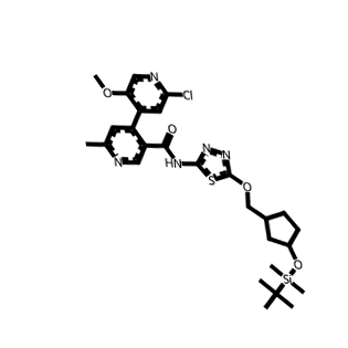 COc1cnc(Cl)cc1-c1cc(C)ncc1C(=O)Nc1nnc(OCC2CCC(O[Si](C)(C)C(C)(C)C)C2)s1